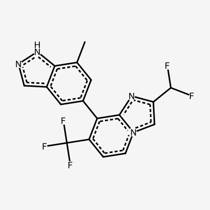 Cc1cc(-c2c(C(F)(F)F)ccn3cc(C(F)F)nc23)cc2cn[nH]c12